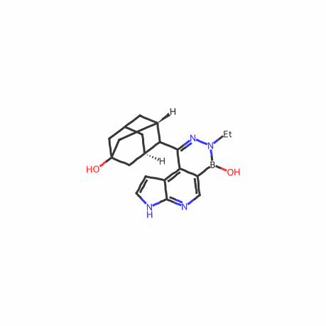 CCN1N=C(C2[C@@H]3CC4C[C@H]2CC(O)(C4)C3)c2c(cnc3[nH]ccc23)B1O